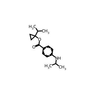 CC(C)Nc1ccc(C(=O)OC2(C(C)C)CC2)cc1